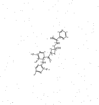 Cc1ccc(Nc2c(C(=O)N3CC(O)(CNC(=N)c4ccccc4)C3)ccc(F)c2F)c(F)c1